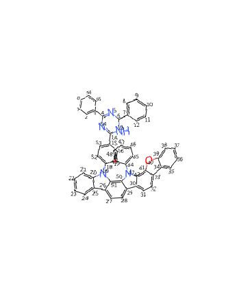 c1ccc(C2=NC(c3ccccc3)NC(c3ccc(-n4c5ccccc5c5ccc6c7ccc8c9ccccc9oc8c7n(-c7ccccc7)c6c54)cc3)=N2)cc1